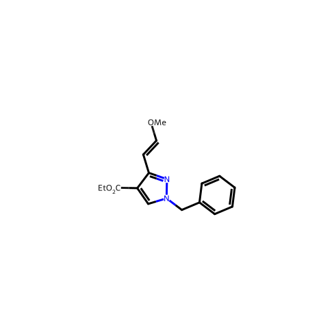 CCOC(=O)c1cn(Cc2ccccc2)nc1C=COC